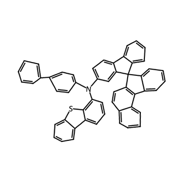 c1ccc(-c2ccc(N(c3ccc4c(c3)C3(c5ccccc5-4)c4ccccc4-c4c3ccc3ccccc43)c3cccc4c3sc3ccccc34)cc2)cc1